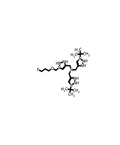 CC(C)(C)N1C=C(CN(CC2=CN(COCCCF)NN2)CC2=CN(C(C)(C)C)NN2)NN1